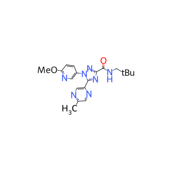 COc1ccc(-n2nc(C(=O)NCC(C)(C)C)nc2-c2cnc(C)cn2)cn1